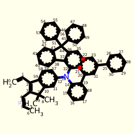 C=CC1=C(/C=C\C)C(C)(C)c2cc(N(c3ccccc3-c3cccc(-c4ccccc4)c3)c3cccc4c3-c3ccccc3C4(c3ccccc3)c3ccccc3)ccc21